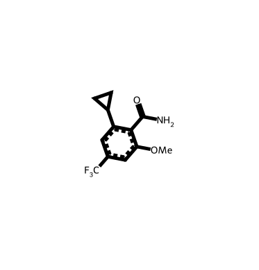 COc1cc(C(F)(F)F)cc(C2CC2)c1C(N)=O